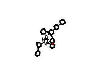 c1ccc(-c2ccc(-c3cc(-c4ccccc4)c4c(c3)c3ccccc3n4-c3nc(-c4ccccc4)nc(-c4cccc(-c5ccccc5)c4)n3)cc2)cc1